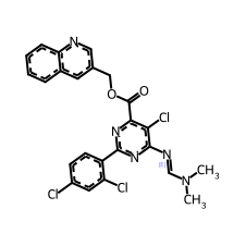 CN(C)/C=N/c1nc(-c2ccc(Cl)cc2Cl)nc(C(=O)OCc2cnc3ccccc3c2)c1Cl